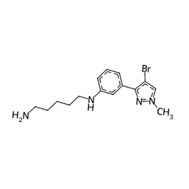 Cn1cc(Br)c(-c2cccc(NCCCCCN)c2)n1